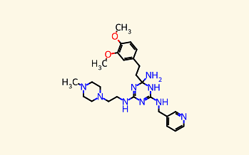 COc1ccc(CCC2(N)N=C(NCCN3CCN(C)CC3)N=C(NCc3cccnc3)N2)cc1OC